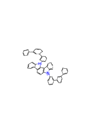 C1=CC(c2ccccc2)=CC(c2cccc(-n3c4ccccc4c4ccc5c(c6ccccc6n5-c5cccc(-c6cccc(-c7ccccc7)c6)c5)c43)c2)C1